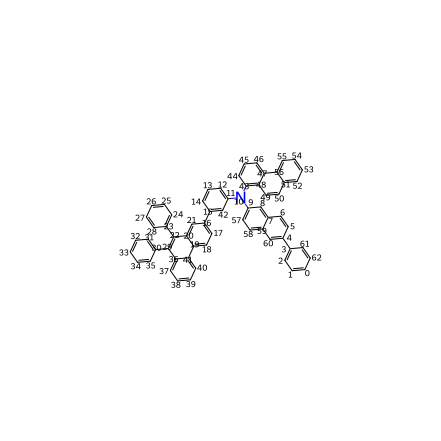 c1ccc(-c2ccc3cc(N(c4cccc(-c5ccc6c(c5)c(-c5ccccc5)c(-c5ccccc5)c5ccccc56)c4)c4cccc5c4ccc4ccccc45)ccc3c2)cc1